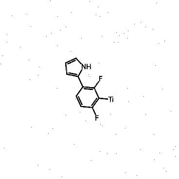 Fc1ccc(-c2ccc[nH]2)c(F)[c]1[Ti]